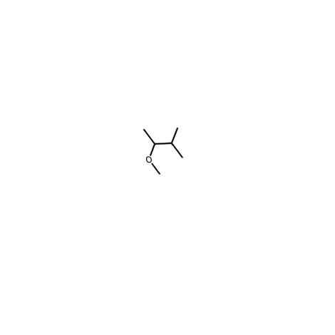 COC(C)[C](C)C